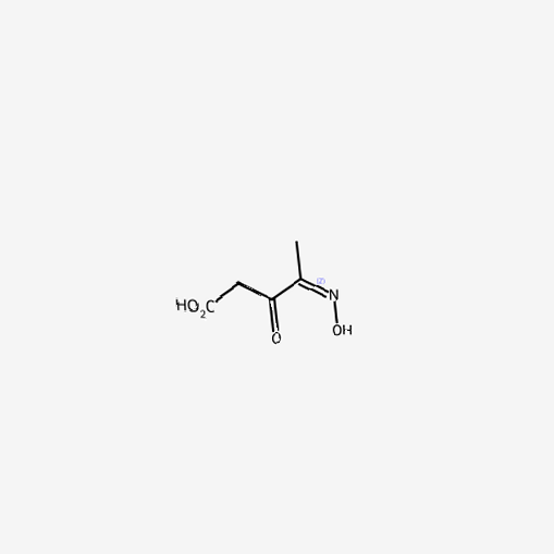 C/C(=N/O)C(=O)CC(=O)O